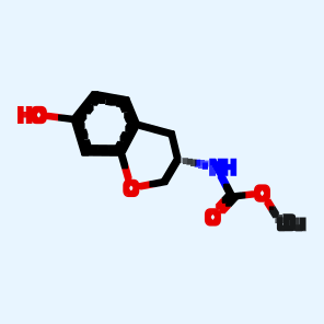 CC(C)(C)OC(=O)N[C@@H]1COc2cc(O)ccc2C1